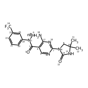 CCCCN(C(=O)c1cnc(N2CC(C)(C)NC2=O)nc1N)c1cccc(C(F)(F)F)c1